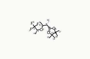 CC(O[C@@H](C)C(F)(F)F)[C@H](C)B1OC(C)(C)C(C)(C)O1